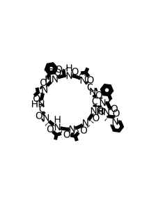 CC(C)C[C@@H]1NC(=O)[C@H](C)N(C)C(=O)CNC(=O)[C@H](C(C)C)N(C)C(=O)[C@H](Cc2ccccc2)NC(=O)[C@H]([C@@H](C)O)NC(=O)[C@H](CC(C)C)N(C)C(=O)CN(C)C(=O)C[C@@H](C(=O)N(C)[C@@H](Cc2ccccc2)C(=O)N[C@@H](C)C(=O)N2CCCCC2)NC(=O)[C@H](C)N(C)C(=O)[C@H](CC(C)C)N(C)C1=O